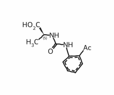 CC(=O)c1ccccc1NC(=O)N[C@@H](C)C(=O)O